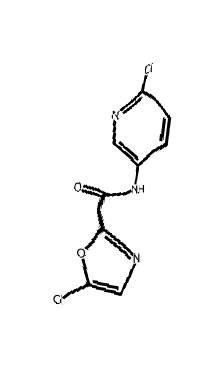 O=C(Nc1ccc(Cl)nc1)c1ncc(Cl)o1